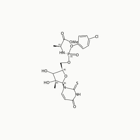 COC(=O)[C@H](C)N[P@](=O)(OC[C@H]1O[C@@H](n2ccc(=O)[nH]c2=S)[C@](C)(O)C1O)Oc1ccc(Cl)cc1